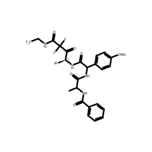 COc1ccc(C(NC(=O)C(C)NC(=O)c2ccccc2)C(=O)N[C@H](C(=O)C(F)(F)C(=O)NCC(F)(F)F)C(C)C)cc1